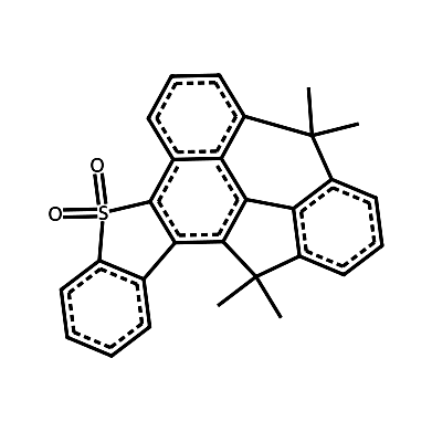 CC1(C)c2cccc3c2-c2c1c1c(c4cccc(c24)C3(C)C)S(=O)(=O)c2ccccc2-1